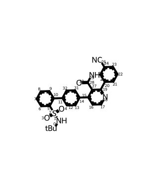 CC(C)(C)NS(=O)(=O)c1ccccc1-c1ccc(-c2ccnc(-c3cccc(C#N)c3)c2C(N)=O)cc1